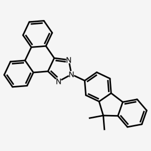 CC1(C)c2ccccc2-c2ccc(-n3nc4c5ccccc5c5ccccc5c4n3)cc21